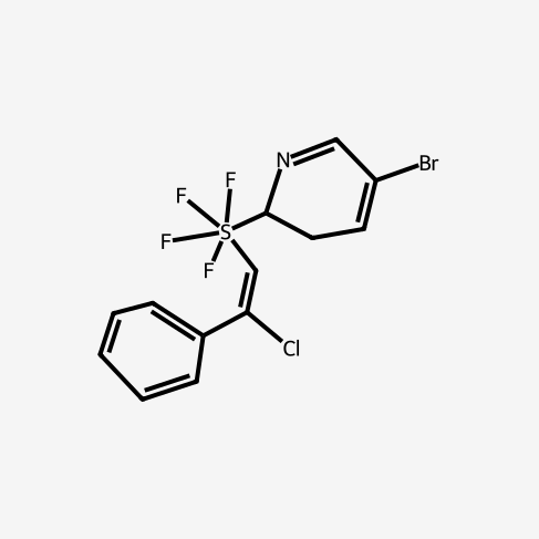 FS(F)(F)(F)(/C=C(/Cl)c1ccccc1)C1CC=C(Br)C=N1